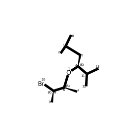 CC(C)C[C@H](O[C@@H](C)[C@@H](C)Br)C(C)C